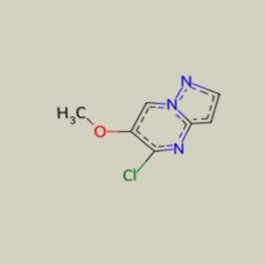 COc1cn2nccc2nc1Cl